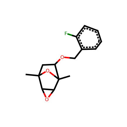 CC12CC(OCc3ccccc3F)C(C)(O1)C1OC12